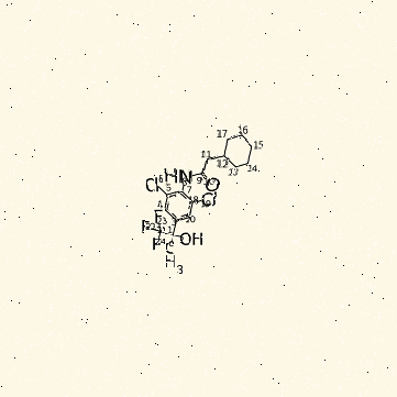 CC(O)(c1cc(Cl)c(NC(=O)CC2CCCCC2)c(Cl)c1)C(F)(F)F